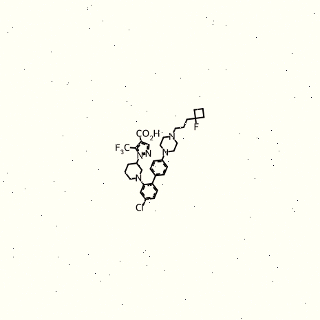 O=C(O)c1cnn(C2CCCN(c3cc(Cl)ccc3-c3ccc(N4CCN(CCCC5(F)CCC5)CC4)cc3)C2)c1C(F)(F)F